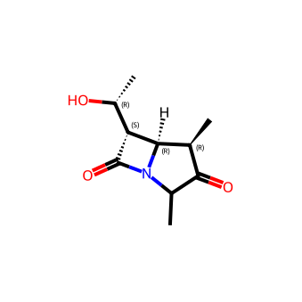 CC1C(=O)[C@H](C)[C@@H]2[C@@H]([C@@H](C)O)C(=O)N12